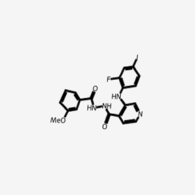 COc1cccc(C(=O)NNC(=O)c2ccncc2Nc2ccc(I)cc2F)c1